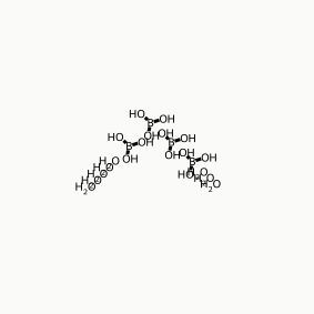 O.O.O.O.O.O.O.O.OB(O)O.OB(O)O.OB(O)O.OB(O)O